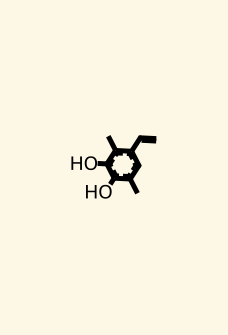 C=Cc1cc(C)c(O)c(O)c1C